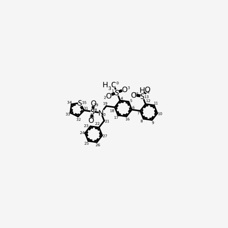 CS(=O)(=O)c1cc(-c2ccccc2[SH](=O)=O)ccc1CN(Cc1ccccc1)S(=O)(=O)c1cccs1